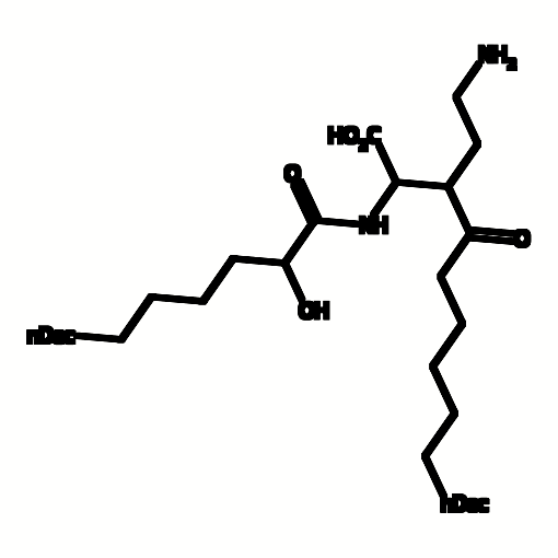 CCCCCCCCCCCCCCCC(=O)C(CCN)C(NC(=O)C(O)CCCCCCCCCCCCCC)C(=O)O